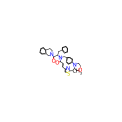 Cc1nc(C=CC(=O)N(Cc2ccc(N3CCOCC3)cc2)C(Cc2ccccc2)C(=O)N2CCc3ccccc3C2)cs1